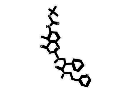 Cc1c(NC(=O)OC(C)(C)C)ccc2nc(N(C)CC(C(=O)N(C)CCc3cccnc3)c3ccccc3)oc(=O)c12